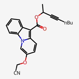 CCCCC#CC(C)OC(=O)c1c2ccccc2n2cc(OCC#N)ccc12